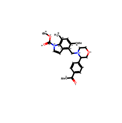 COC(=O)c1ccc(C2COCCN2Cc2c(OC)cc(C)c3c2ccn3C(=O)OC(C)(C)C)cc1